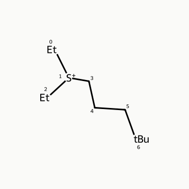 CC[S+](CC)CCCC(C)(C)C